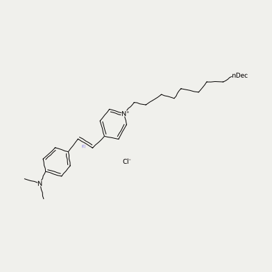 CCCCCCCCCCCCCCCCCC[n+]1ccc(/C=C/c2ccc(N(C)C)cc2)cc1.[Cl-]